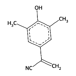 C=C(C#N)c1cc(C)c(O)c(C)c1